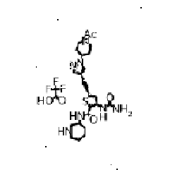 CC(=O)N1CCC(n2cc(C#Cc3cc(NC(N)=O)c(C(=O)N[C@H]4CCCCNC4)s3)cn2)CC1.O=C(O)C(F)(F)F